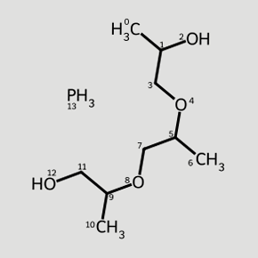 CC(O)COC(C)COC(C)CO.P